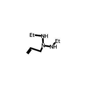 C=CCN(NCC)NCC